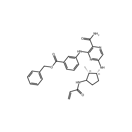 C=CC(=O)NC1CC[C@@H](Nc2cnc(C(N)=O)c(Nc3cccc(C(=O)OCc4ccccc4)c3)n2)[C@H]1C